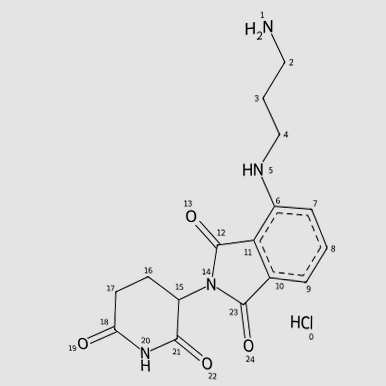 Cl.NCCCNc1cccc2c1C(=O)N(C1CCC(=O)NC1=O)C2=O